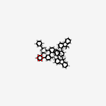 CC1(C)c2ccccc2-c2ccc3c(c21)c1ccccc1n3-c1ccc(-c2nc(-c3ccccc3)nc(-c3ccccc3)n2)c(-c2cc(-c3cccnc3)ccc2-n2c3ccccc3c3c4c(ccc32)-c2ccccc2C4(C)C)c1